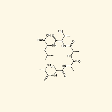 CC(C)CC(NC(=O)C(NC(=O)C(C)NC(=O)C(C)NC(=O)C(C)NC(=O)C(C)N)C(C)O)C(=O)O